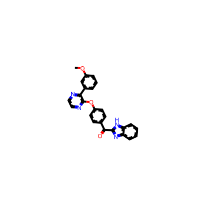 COc1cccc(-c2nccnc2Oc2ccc(C(=O)c3nc4ccccc4[nH]3)cc2)c1